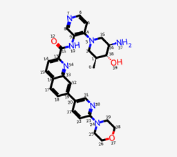 C[C@H]1CN(c2ccncc2NC(=O)c2ccc3ccc(-c4ccc(N5CCOCC5)nc4)cc3n2)C[C@@H](N)[C@@H]1O